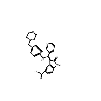 CN1C(=O)C(=C(Nc2ccc(CN3CCOCC3)cc2)c2cccnc2)c2cc(C(=O)O)ccc21